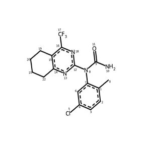 Cc1ccc(Cl)cc1N(C(N)=O)c1nc2c(c(C(F)(F)F)n1)CCCC2